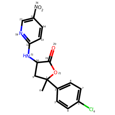 CC1(c2ccc(Cl)cc2)CC(Nc2ccc([N+](=O)[O-])cn2)C(=O)O1